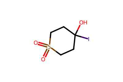 O=S1(=O)CCC(O)(I)CC1